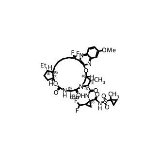 CC[C@H]1CC[C@H]2OC(=O)N[C@@H](C(C)(C)C)C(=O)N3C[C@H](Oc4nc5cc(OC)ccc5nc4C(F)(F)CCCC[C@H]12)[C@@H](C)[C@H]3C(=O)N[C@]1(C(=O)NS(=O)(=O)C2(C)CC2)CC1C(F)F